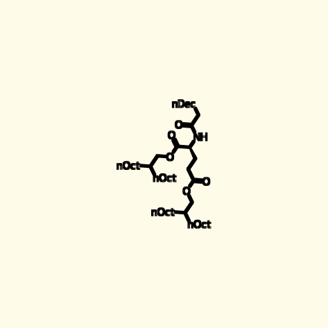 CCCCCCCCCCCC(=O)N[C@@H](CCC(=O)OCC(CCCCCCCC)CCCCCCCC)C(=O)OCC(CCCCCCCC)CCCCCCCC